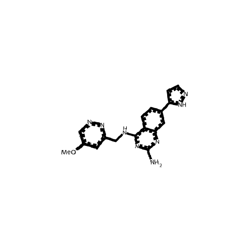 COc1cnnc(CNc2nc(N)nc3cc(-c4ccn[nH]4)ccc23)c1